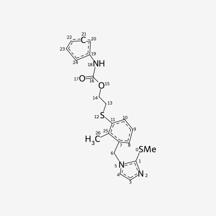 CSc1nccn1Cc1cccc(SCCOC(=O)Nc2ccccc2)c1C